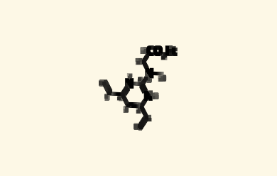 C=Cc1cc(C=C)nc(N(C)CC(=O)OCC)n1